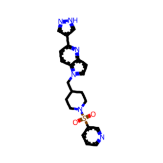 O=S(=O)(c1cccnc1)N1CCC(Cn2ccc3nc(-c4cn[nH]c4)ccc32)CC1